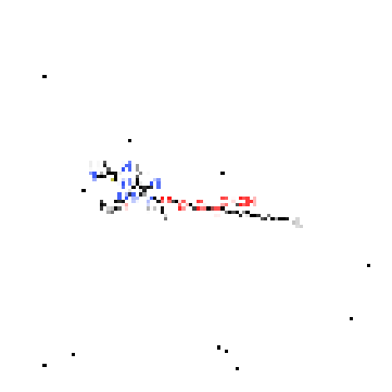 CCCCCC/C=C/CC(CC(=O)OCCOCCOCCOCCN(CC)c1nc(NC(C)=O)c(/N=N/c2sc(C#N)c(C)c2C#N)c(C)c1C#N)C(=O)O